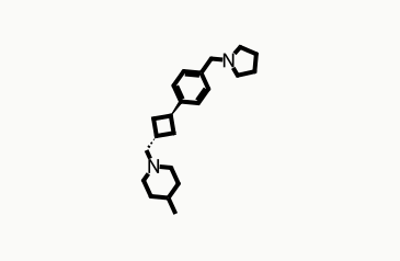 CC1CCN(C[C@H]2C[C@H](c3ccc(CN4CCCC4)cc3)C2)CC1